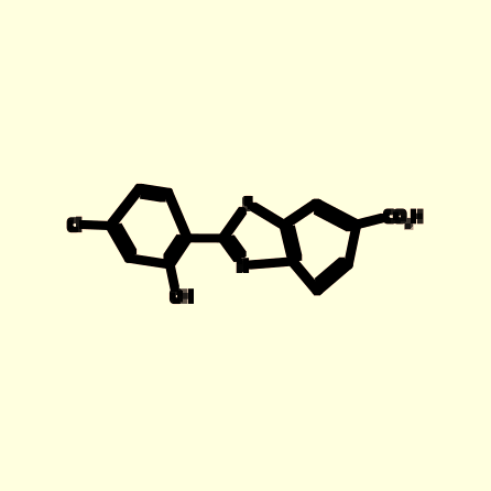 O=C(O)c1ccc2nc(-c3ccc(Cl)cc3O)sc2c1